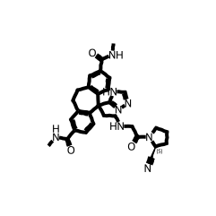 CNC(=O)c1ccc2c(c1)CCc1cc(C(=O)NC)ccc1C2(CCNCC(=O)N1CCC[C@H]1C#N)c1nnc[nH]1